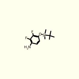 CC(C)(C)[Si](C)(C)Oc1ccc(N)c(F)c1F